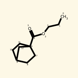 CCCOC(=O)C12[CH]CC(CC1)C2